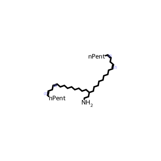 CCCCC/C=C\C/C=C\CCCCCCCCC(CCN)CCCCCCCC/C=C\C/C=C\CCCCC